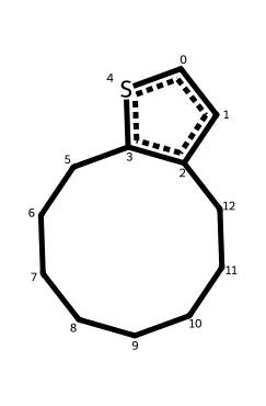 c1cc2c(s1)CCCCCCCC2